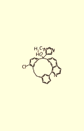 Cn1cncc1C1(O)c2ccc(Cl)c(c2)CCc2cccc(c2)-c2nccc3ccc1cc23